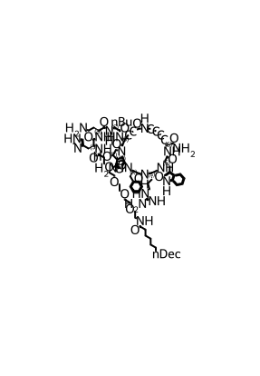 CCCCCCCCCCCCCCCC(=O)NCCOCCOCCOCCOCCC(=O)N[C@@H](Cc1c[nH]cn1)C(=O)N[C@@H](CCN)C(=O)N[C@@H](CCCC)C(=O)N[C@H]1CCC(=O)NCCCC[C@@H](C(N)=O)NC(=O)[C@H](Cc2c[nH]c3ccccc23)NC(=O)[C@H](CCCNC(=N)N)NC(=O)[C@@H](Cc2ccccc2)NC(=O)[C@@H]2C(C(N)=O)[C@@H](O)CN2C1=O